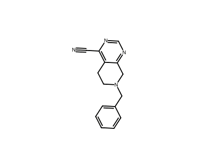 N#Cc1ncnc2c1CCN(Cc1ccccc1)C2